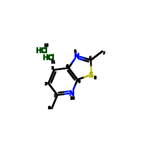 Cc1ccc2nc(C)sc2n1.Cl.Cl